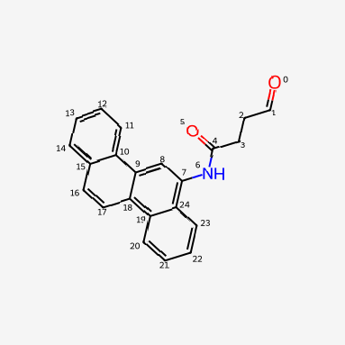 O=CCCC(=O)Nc1cc2c3ccccc3ccc2c2ccccc12